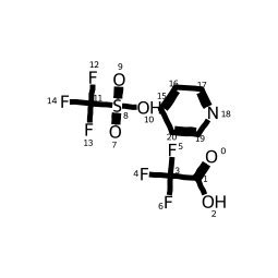 O=C(O)C(F)(F)F.O=S(=O)(O)C(F)(F)F.c1ccncc1